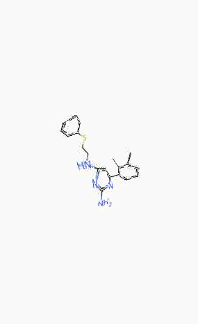 Cc1cccc(-c2cc(NCCSc3ccccc3)nc(N)n2)c1C